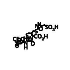 O=C(CS(=O)(=O)CC(F)(F)F)NC1C(=O)N2C(C(=O)O)=C(CSc3nnc(CS(=O)(=O)O)o3)CS[C@H]12